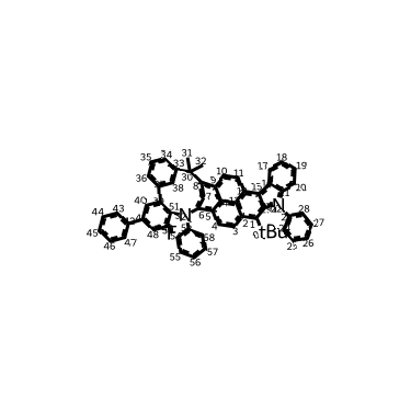 CC(C)(C)c1c2ccc3c4cc(c5ccc(c2c35)c2c3ccccc3n(-c3ccccc3)c12)C(C)(C)c1cccc(c1)-c1cc(-c2ccccc2)cc(F)c1N4c1ccccc1